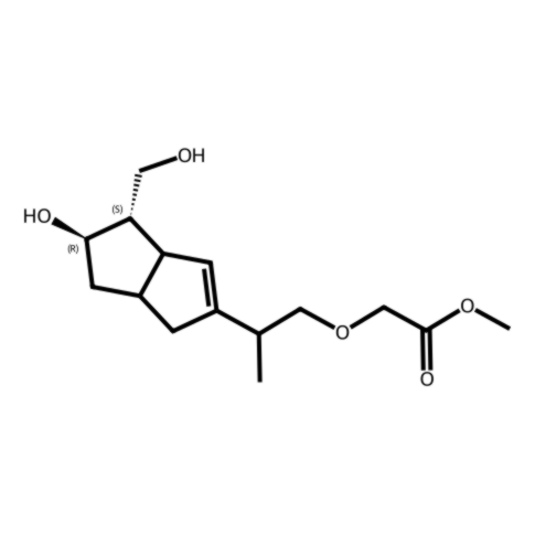 COC(=O)COCC(C)C1=CC2C(C1)C[C@@H](O)[C@@H]2CO